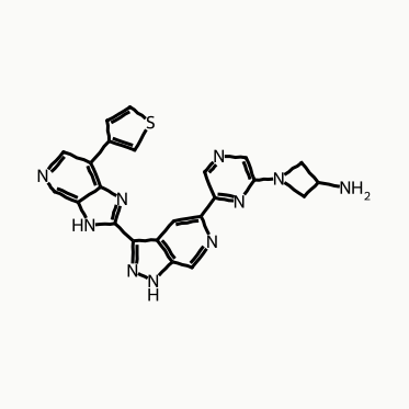 NC1CN(c2cncc(-c3cc4c(-c5nc6c(-c7ccsc7)cncc6[nH]5)n[nH]c4cn3)n2)C1